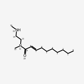 CCCCCCC/C=C/C(=O)N(C)CCNC